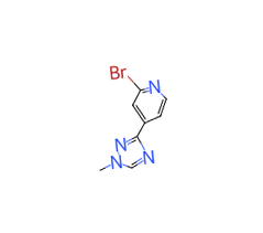 Cn1cnc(-c2ccnc(Br)c2)n1